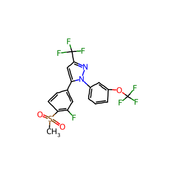 CS(=O)(=O)c1ccc(-c2cc(C(F)(F)F)nn2-c2cccc(OC(F)(F)F)c2)cc1F